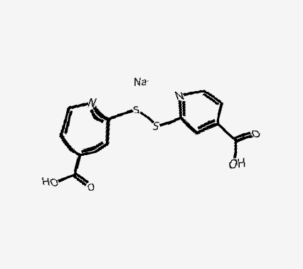 O=C(O)c1ccnc(SSc2cc(C(=O)O)ccn2)c1.[Na]